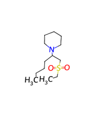 CCCCC(CS(=O)(=O)CC)N1CCCCC1